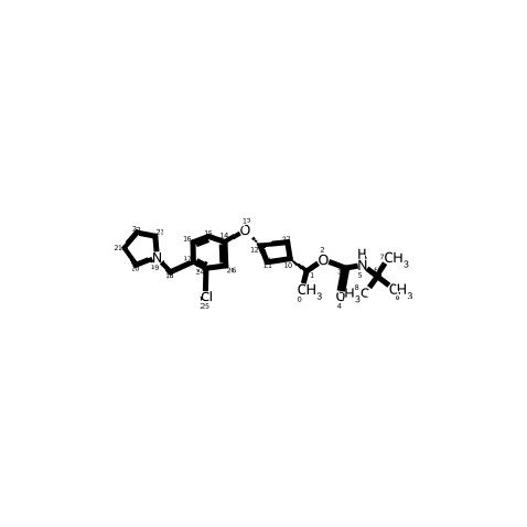 CC(OC(=O)NC(C)(C)C)[C@H]1C[C@H](Oc2ccc(CN3CCCC3)c(Cl)c2)C1